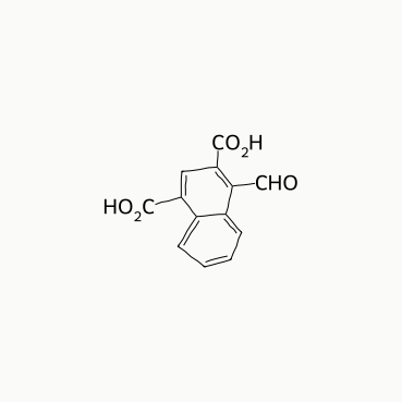 O=Cc1c(C(=O)O)cc(C(=O)O)c2ccccc12